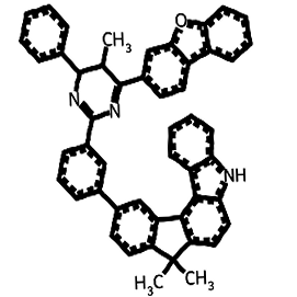 CC1C(c2ccc3c(c2)oc2ccccc23)=NC(c2cccc(-c3ccc4c(c3)-c3c(ccc5[nH]c6ccccc6c35)C4(C)C)c2)=NC1c1ccccc1